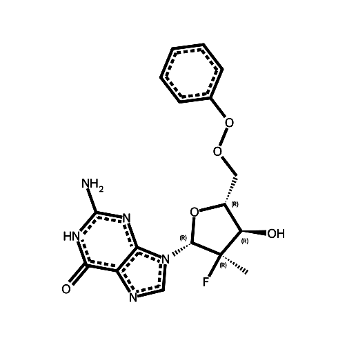 C[C@@]1(F)[C@H](O)[C@@H](COOc2ccccc2)O[C@H]1n1cnc2c(=O)[nH]c(N)nc21